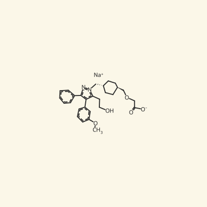 COc1cccc(-c2c(-c3ccccc3)nn(C[C@H]3CC[C@H](COCC(=O)[O-])CC3)c2CCO)c1.[Na+]